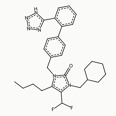 CCCCc1c(C(F)F)n(CC2CCCCC2)c(=O)n1Cc1ccc(-c2ccccc2-c2nnn[nH]2)cc1